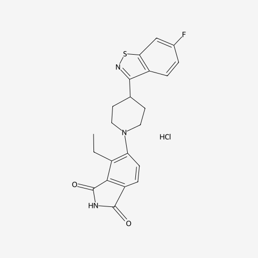 CCc1c(N2CCC(c3nsc4cc(F)ccc34)CC2)ccc2c1C(=O)NC2=O.Cl